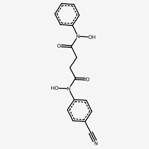 N#Cc1ccc(N(O)C(=O)CCC(=O)N(O)c2ccccc2)cc1